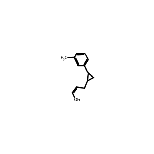 O/C=C\CC1CC1c1cccc(C(F)(F)F)c1